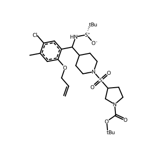 C=CCOc1cc(C)c(Cl)cc1C(N[S@@+]([O-])C(C)(C)C)C1CCN(S(=O)(=O)C2CCN(C(=O)OC(C)(C)C)C2)CC1